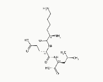 CC(C)C[C@H](NC(=O)[C@H](CCC(=O)O)NC(=O)[C@H](N)CCCCN)C(=O)O